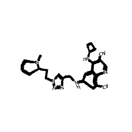 CN1CCCC1CCn1cc(CNc2cc(Cl)c3ncc(C#N)c(NC4CCC4)c3c2)nn1